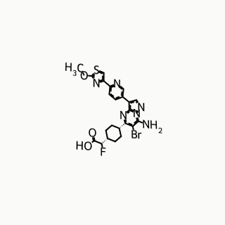 COc1nc(-c2ccc(-c3cnn4c(N)c(Br)c([C@H]5CC[C@@H](C(F)C(=O)O)CC5)nc34)cn2)cs1